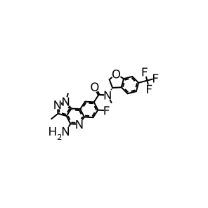 Cc1nn(C)c2c1c(N)nc1cc(F)c(C(=O)N(C)[C@@H]3COc4cc(C(F)(F)F)ccc43)cc12